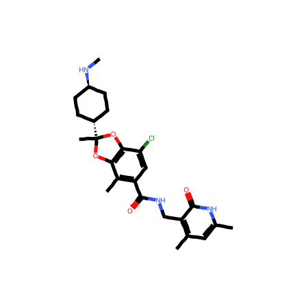 CN[C@H]1CC[C@H](C2(C)Oc3c(Cl)cc(C(=O)NCc4c(C)cc(C)[nH]c4=O)c(C)c3O2)CC1